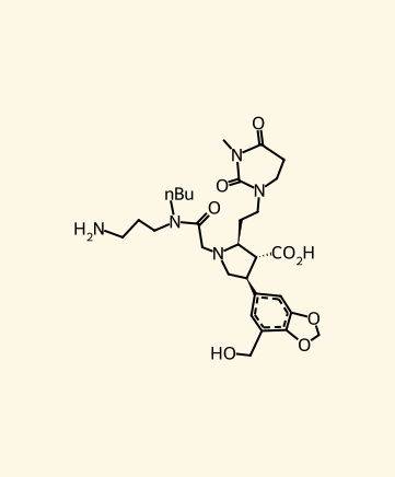 CCCCN(CCCN)C(=O)CN1C[C@H](c2cc(CO)c3c(c2)OCO3)[C@@H](C(=O)O)[C@@H]1CCN1CCC(=O)N(C)C1=O